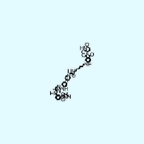 Cc1cnc(Nc2ccc(N3CCN(CC(=O)NCCCCCCNc4ccc5c(c4)C(=O)N(C4CCC(=O)NC4=O)C5=O)CC3)cc2)nc1Nc1cccc(S(=O)(=O)NC(C)(C)C)c1